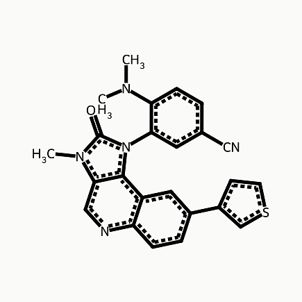 CN(C)c1ccc(C#N)cc1-n1c(=O)n(C)c2cnc3ccc(-c4ccsc4)cc3c21